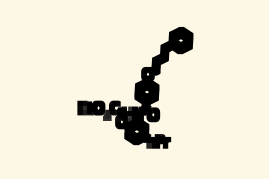 CCCc1ccc(OCC(=O)OCC)c(NC(=O)c2ccc(OCCCCc3ccccc3)cc2)c1